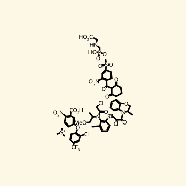 CC1COc2ccccc2N1C(=O)C(Cl)Cl.CCc1cccc(C)c1N(C(=O)CCl)C(C)COC.CS(=O)(=O)c1ccc(C(=O)C2C(=O)CCCC2=O)c([N+](=O)[O-])c1.C[S+](C)C.O=C(O)CNCP(=O)([O-])O.O=C(O)c1cc(Oc2ccc(C(F)(F)F)cc2Cl)ccc1[N+](=O)[O-]